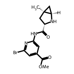 COC(=O)c1cc(Br)nc(NC(=O)[C@@H]2C[C@@]3(C)C[C@H]3N2)c1